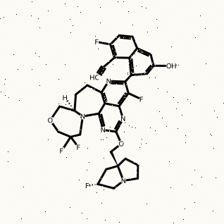 C#Cc1c(F)ccc2cc(O)cc(-c3nc4c5c(nc(OC[C@@]67CCCN6C[C@H](F)C7)nc5c3F)N3CC(F)(F)COC[C@H]3CC4)c12